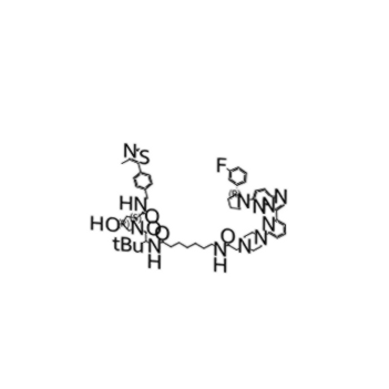 Cc1ncsc1-c1ccc(CNC(=O)[C@@H]2C[C@@H](O)CN2C(=O)C(NC(=O)CCCCCCNC(=O)CN2CCN(c3cccc(-c4cnc5ccc(N6CCC[C@@H]6c6cccc(F)c6)nn45)n3)CC2)C(C)(C)C)cc1